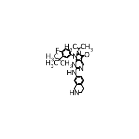 CC(C)n1c(=O)c2cnc(Nc3ccc4c(c3)CNCC4)nc2n1-c1ccc(F)c(C(C)(C)C)c1